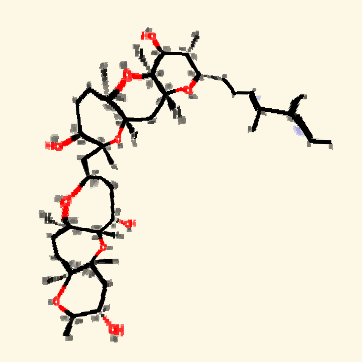 C/C=C(C)/C(C)=C/CC[C@@H]1O[C@@H]2C[C@@H]3O[C@](C)(C[C@H]4C[C@H](O)[C@@H]5O[C@]6(C)C[C@H](O)[C@@H](C)O[C@@]6(C)CC[C@H]5O4)[C@@H](O)CC[C@@]3(C)O[C@H]2[C@@H](O)[C@@H]1C